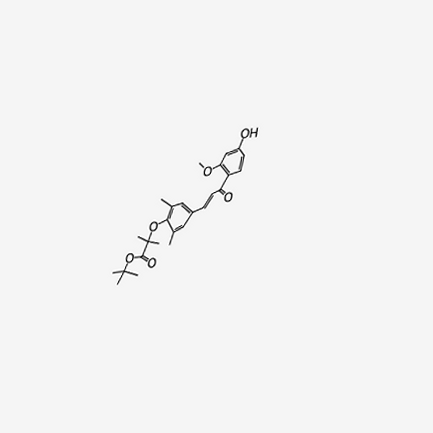 COc1cc(O)ccc1C(=O)/C=C/c1cc(C)c(OC(C)(C)C(=O)OC(C)(C)C)c(C)c1